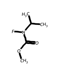 COC(=O)N(F)C(C)C